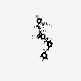 COC(=O)N1C[C@H](O)C[C@H]1C(=O)NC[C@@]1(O)C2C[C@@H](S(=O)(=O)c3cc(C(=O)Nc4cc(F)c(F)c(F)c4)ccc3Cl)CC23C[C@H](C)C31